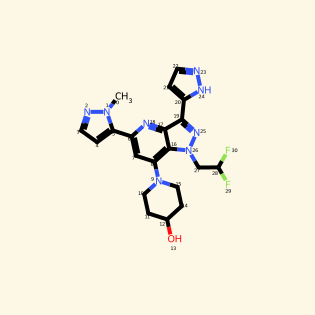 Cn1nccc1-c1cc(N2CCC(O)CC2)c2c(n1)c(-c1ccn[nH]1)nn2CC(F)F